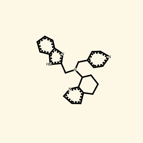 c1cnc2c(c1)CCCC2N(Cc1ccncc1)Cc1nc2ccccc2[nH]1